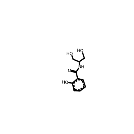 O=C(NC(CO)CO)c1ccccc1O